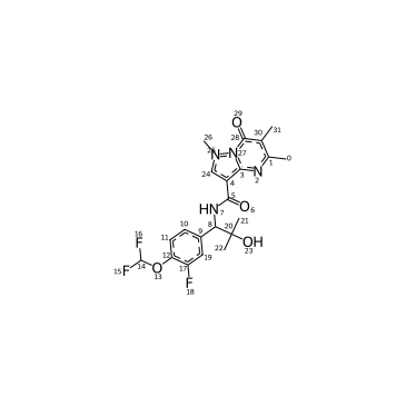 Cc1nc2c(C(=O)NC(c3ccc(OC(F)F)c(F)c3)C(C)(C)O)cn(C)n2c(=O)c1C